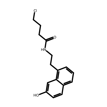 O=C(CCCCl)NCCc1cccc2ccc(O)cc12